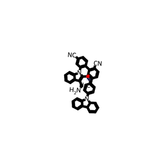 C/C=C\c1c(CN)c2ccccc2n1-c1cc(C#N)ccc1-c1cc(-c2ccc(N3c4ccccc4C4C=CC=CC43)cc2)ccc1C#N